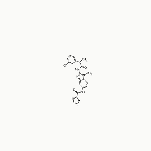 CC(C(=O)Nc1nc2cc(NC(=O)c3cscn3)ccc2n1C)c1cccc(Cl)c1